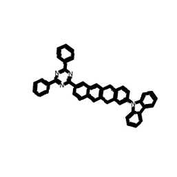 c1ccc(-c2nc(-c3ccccc3)nc(-c3ccc4cc5c(cc4c3)Cc3ccc(-n4c6ccccc6c6ccccc64)cc3C5)n2)cc1